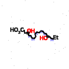 CC/C=C\C[C@H](O)/C=C/C=C\C/C=C\C/C=C\C=C\[C@@H](O)CCC(=O)O